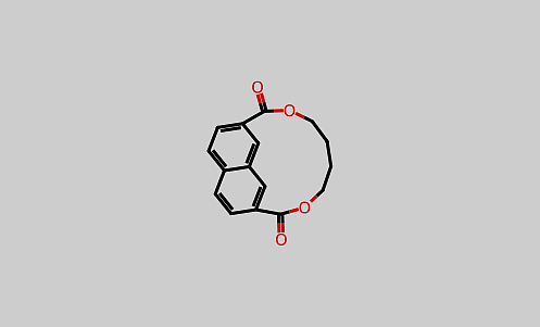 O=C1OCCCCOC(=O)c2ccc3ccc1cc3c2